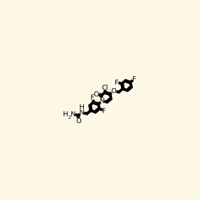 NC(=O)NCc1cc(F)c(-n2ccc(OCc3ccc(F)cc3F)c(Cl)c2=O)c(F)c1